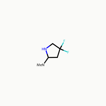 CNC1CC(F)(F)CN1